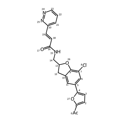 CC(=O)c1ccc(-c2cc(Cl)c3c(c2)CC(CNC(=O)/C=C/c2cccnn2)O3)o1